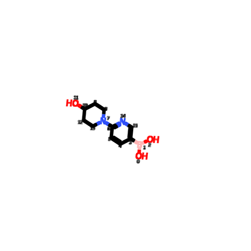 OB(O)c1ccc(N2CCC(O)CC2)nc1